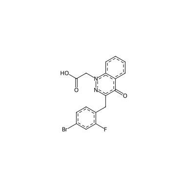 O=C(O)Cn1nc(Cc2ccc(Br)cc2F)c(=O)c2ccccc21